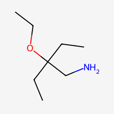 CCOC(CC)(CC)CN